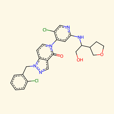 O=c1c2cnn(Cc3ccccc3Cl)c2ccn1-c1cc(NC(CO)C2CCOC2)ncc1Cl